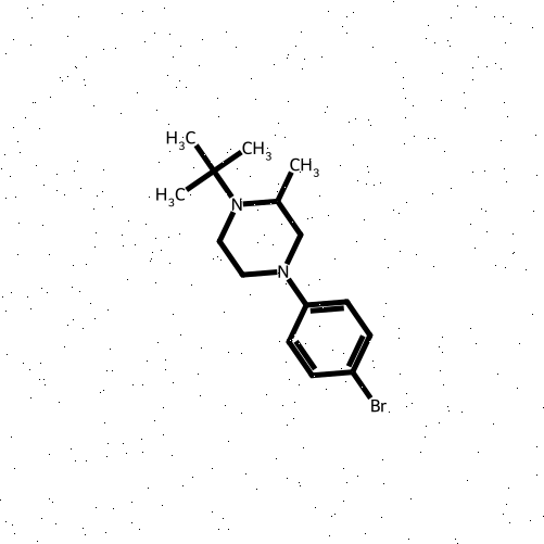 CC1CN(c2ccc(Br)cc2)CCN1C(C)(C)C